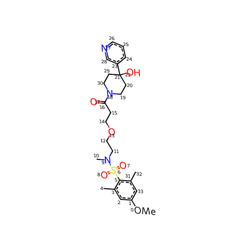 COc1cc(C)c(S(=O)(=O)N(C)CCOCCC(=O)N2CCC(O)(c3cccnc3)CC2)c(C)c1